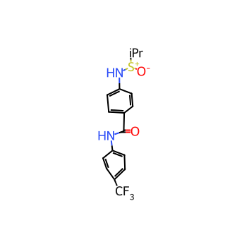 CC(C)[S+]([O-])Nc1ccc(C(=O)Nc2ccc(C(F)(F)F)cc2)cc1